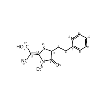 CCN1C(=O)C(CCc2ccccn2)S/C1=C(/C#N)C(=O)O